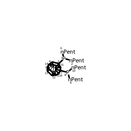 CCCCCP(CCCCC)[C]12[CH]3[CH]4[CH]5[C]1(P(CCCCC)CCCCC)[Zr]43521678[CH]2[CH]1[CH]6[CH]7[CH]28